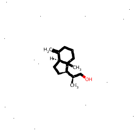 C=C1CCCC2(C)[C@@H]([C@H](C)CO)CC[C@@H]12